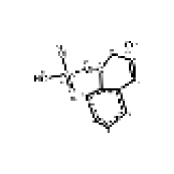 C1=Cc2ccccc2OC1.O=[As](O)(O)O.[Cu]